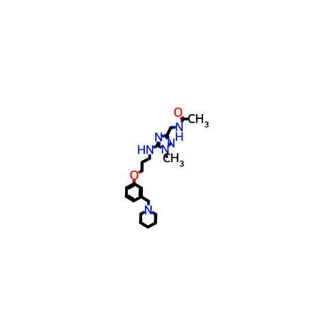 CC(=O)NCc1nc(NCCCOc2cccc(CN3CCCCC3)c2)n(C)n1